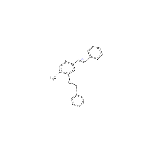 Cc1cnc(/C=C/c2ccccc2)cc1OCc1ccccc1